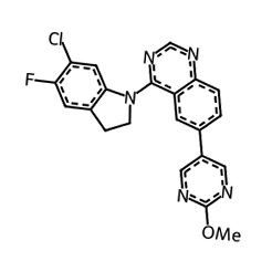 COc1ncc(-c2ccc3ncnc(N4CCc5cc(F)c(Cl)cc54)c3c2)cn1